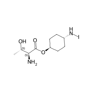 C[C@H](O)[C@H](N)C(=O)O[C@H]1CC[C@H](NI)CC1